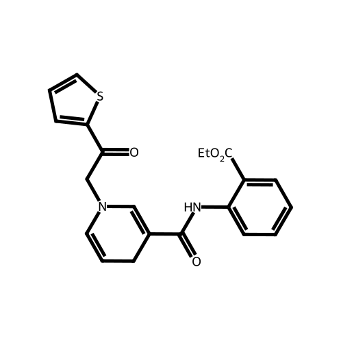 CCOC(=O)c1ccccc1NC(=O)C1=CN(CC(=O)c2cccs2)C=CC1